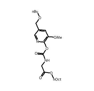 CCCCCCCCOC(=O)CNC(=O)Oc1ncc(COCCCC)cc1OC